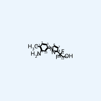 Cc1ccc(-n2ccc(C(F)(F)CO)n2)cc1N